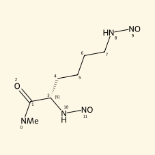 CNC(=O)[C@H](CCCCNN=O)NN=O